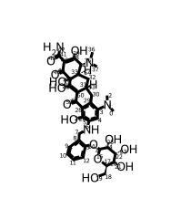 CN(C)c1cc(NCc2ccccc2OC2O[C@H](CO)[C@H](O)[C@@H](O)[C@H]2O)c(O)c2c1C[C@H]1C[C@@H]3[C@@H](N(C)C)C(O)=C(C(N)=O)C(=O)[C@@]3(O)C(O)=C1C2=O